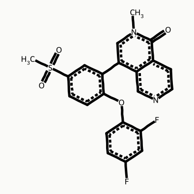 Cn1cc(-c2cc(S(C)(=O)=O)ccc2Oc2ccc(F)cc2F)c2cnccc2c1=O